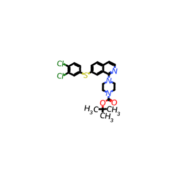 CC(C)(C)OC(=O)N1CCN(c2nccc3ccc(Sc4ccc(Cl)c(Cl)c4)cc23)CC1